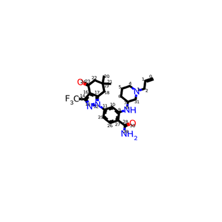 C=CCN1CCCC(Nc2cc(-n3nc(C(F)(F)F)c4c3CC(C)(C)CC4=O)ccc2C(N)=O)C1